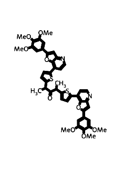 COc1cc(-c2cc3nccc(-c4ccc(C(C)C(=O)C(C)c5ccc(-c6ccnc7cc(-c8cc(OC)c(OC)c(OC)c8)oc67)s5)s4)c3o2)cc(OC)c1OC